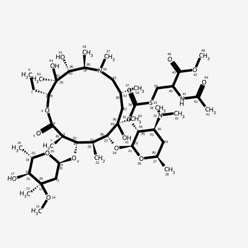 CC[C@H]1OC(=O)[C@H](C)[C@@H](O[C@H]2C[C@@](C)(OC)[C@@H](O)[C@H](C)O2)[C@H](C)[C@@H](O[C@@H]2O[C@H](C)C[C@H](N(C)C)[C@H]2OC(=O)SCC(NC(C)=O)C(=O)OC)[C@](C)(O)C[C@@H](C)CN(C)[C@H](C)[C@@H](O)[C@]1(C)O